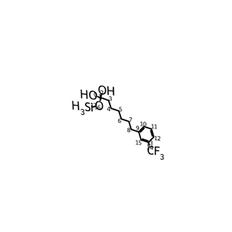 OC(O)(CCCCCCc1cccc(C(F)(F)F)c1)O[SiH3]